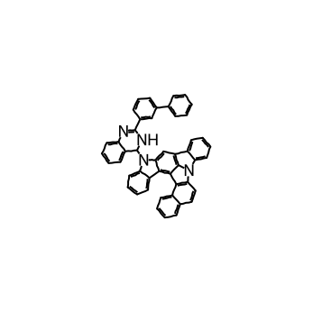 c1ccc(-c2cccc(C3=Nc4ccccc4C(n4c5ccccc5c5c6c7c8ccccc8ccc7n7c8ccccc8c(cc54)c67)N3)c2)cc1